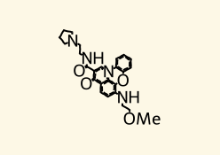 COCCNc1ccc2c(=O)c(C(=O)NCCN3CCCC3)cn3c2c1Oc1ccccc1-3